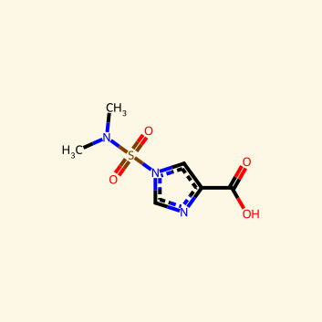 CN(C)S(=O)(=O)n1cnc(C(=O)O)c1